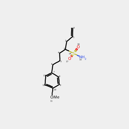 C=CCC(CCCc1ccc(OC)cc1)S(N)(=O)=O